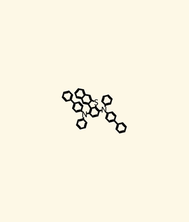 c1ccc(-c2ccc(N(c3ccccc3)c3ccc(N(c4ccccc4)c4ccc(-c5ccccc5)cc4)c4c3sc3cc5ccccc5cc34)cc2)cc1